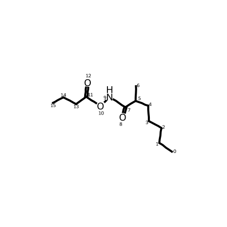 CCCCCC(C)C(=O)NOC(=O)CCC